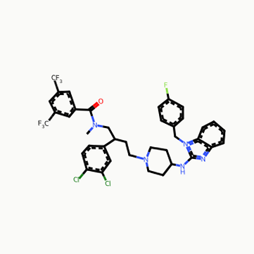 CN(CC(CCN1CCC(Nc2nc3ccccc3n2Cc2ccc(F)cc2)CC1)c1ccc(Cl)c(Cl)c1)C(=O)c1cc(C(F)(F)F)cc(C(F)(F)F)c1